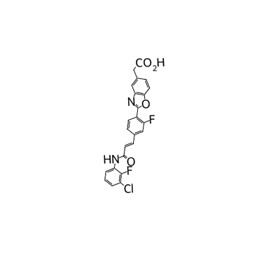 O=C(O)Cc1ccc2oc(-c3ccc(C=CC(=O)Nc4cccc(Cl)c4F)cc3F)nc2c1